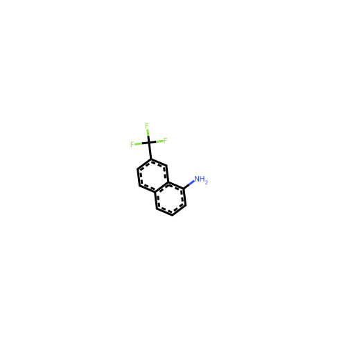 Nc1cccc2ccc(C(F)(F)F)cc12